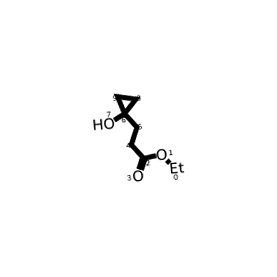 CCOC(=O)CCC1(O)CC1